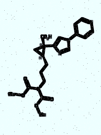 CC(C)(C)OC(=O)N(CCC[C@H]1C[C@]1(C(=O)O)c1cn(-c2ccncc2)cn1)C(=O)OC(C)(C)C